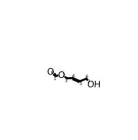 O=COCC=CCO